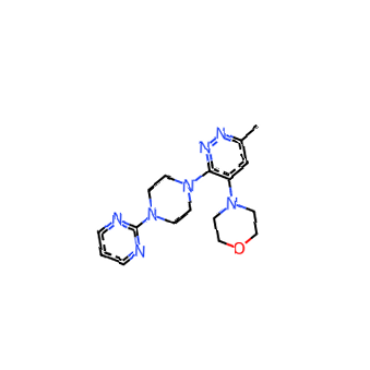 Cc1cc(N2CCOCC2)c(N2CCN(c3ncccn3)CC2)nn1